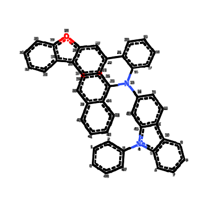 c1ccc(-n2c3ccccc3c3ccc(N(c4ccccc4-c4ccc5c(c4)oc4ccccc45)c4cccc5ccccc45)cc32)cc1